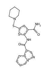 NC(=O)c1cc(SN2CCCCC2)sc1NC(=O)c1cnn2ccccc12